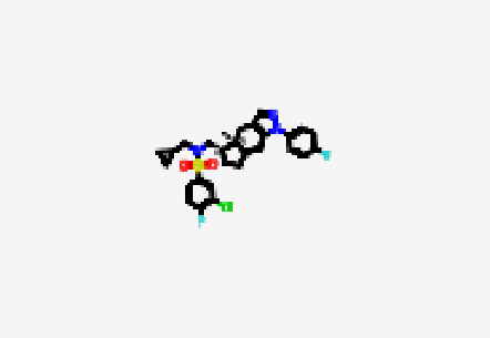 C[C@]12Cc3cnn(-c4ccc(F)cc4)c3C=C1CC[C@@H]2CN(CC1CC1)S(=O)(=O)c1ccc(F)c(Cl)c1